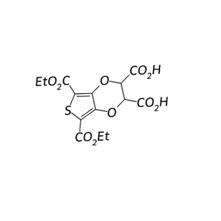 CCOC(=O)c1sc(C(=O)OCC)c2c1OC(C(=O)O)C(C(=O)O)O2